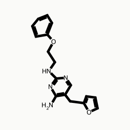 Nc1nc(NCCOc2ccccc2)ncc1Cc1ccco1